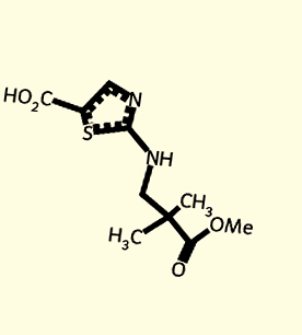 COC(=O)C(C)(C)CNc1ncc(C(=O)O)s1